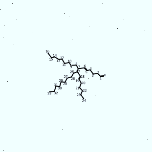 C=CCCCC=CC(CCCCCCCCC)C(C=CCCCCC)CCCCCCCCC